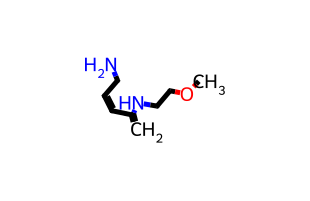 C=C(/C=C\CN)NCCOC